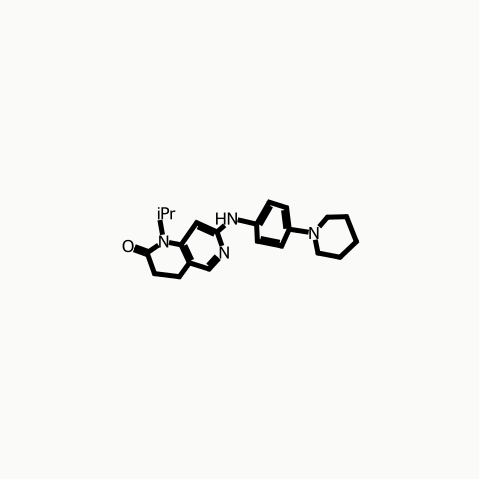 CC(C)N1C(=O)CCc2cnc(Nc3ccc(N4CCCCC4)cc3)cc21